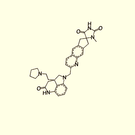 CN1C(=O)NC(=O)C12Cc1cc3ccc(CN4CC5(CCN6CCCC6)CC(=O)Nc6cccc4c65)nc3cc1C2